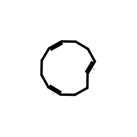 C1=CCC/C=C/CC/C=C\CC1